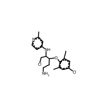 Cc1cc(NC(CCl)C(CCN)Oc2c(C)cc(Cl)cc2C)ccn1